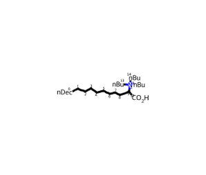 CCCCCCCCCCCCCCCCCCC(C(=O)O)[N+](CCCC)(CCCC)CCCC